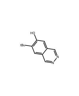 CC(C)(C)c1cc2cnncc2cc1O